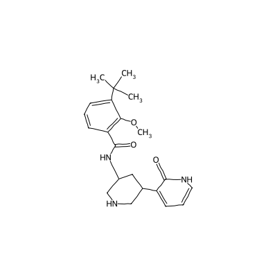 COc1c(C(=O)NC2CNCC(c3ccc[nH]c3=O)C2)cccc1C(C)(C)C